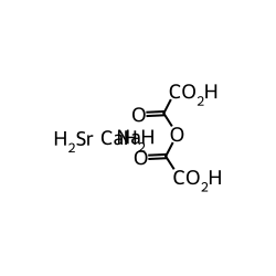 O=C(O)C(=O)OC(=O)C(=O)O.[CaH2].[NaH].[SrH2]